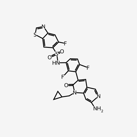 Nc1cc2c(cn1)cc(-c1c(F)ccc(NS(=O)(=O)c3cc4scnc4cc3F)c1F)c(=O)n2CC1CC1